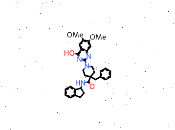 COc1cc2nc(N3CCC(Cc4ccccc4)(C(=O)NC4CCc5ccccc54)CC3)nc(O)c2cc1OC